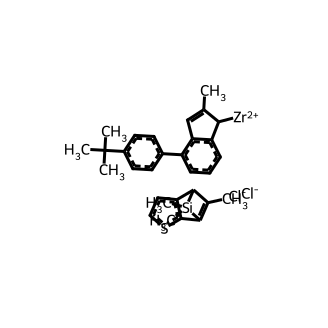 CC1=C2c3sccc3C1[Si]2(C)C.CC1=Cc2c(-c3ccc(C(C)(C)C)cc3)cccc2[CH]1[Zr+2].[Cl-].[Cl-]